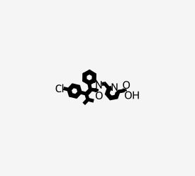 CC(C)/C(=C1\C(=O)N(Cc2cccc(C(=O)O)n2)c2ccccc21)c1ccc(Cl)cc1